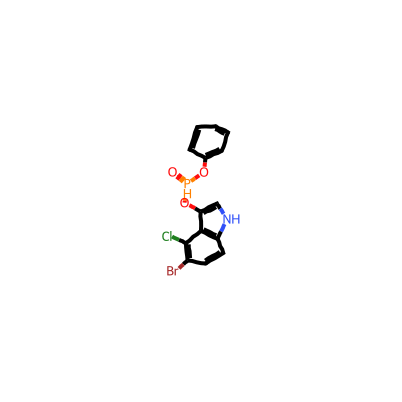 O=[PH](Oc1ccccc1)Oc1c[nH]c2ccc(Br)c(Cl)c12